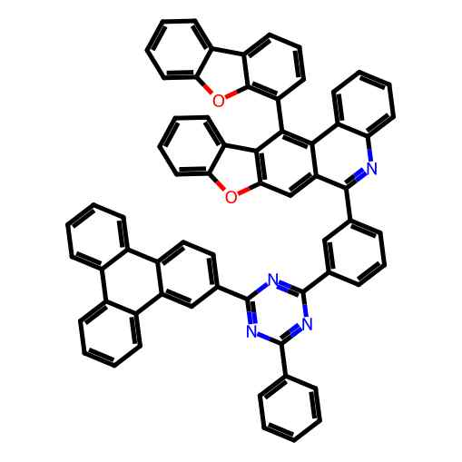 c1ccc(-c2nc(-c3cccc(-c4nc5ccccc5c5c(-c6cccc7c6oc6ccccc67)c6c(cc45)oc4ccccc46)c3)nc(-c3ccc4c5ccccc5c5ccccc5c4c3)n2)cc1